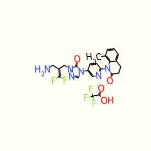 Cc1cccc2c1N(c1ccc(-n3cnn(CC(CN)=C(F)F)c3=O)cn1)C(=O)CC2.O=C(O)C(F)(F)F